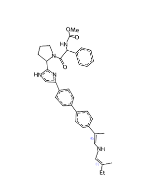 CC/C(C)=C/N/C=C(\C)c1ccc(-c2ccc(-c3c[nH]c(C4CCCN4C(=O)C(NC(=O)OC)c4ccccc4)n3)cc2)cc1